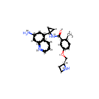 Cc1ccc(OC[C@@H]2CCN2)cc1C(=O)NC1(c2cc(N)cc3ncccc23)CC1